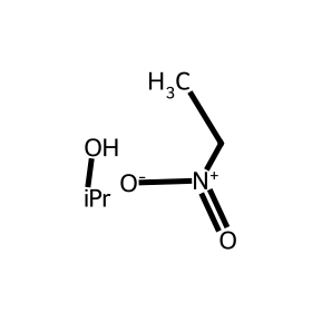 CC(C)O.CC[N+](=O)[O-]